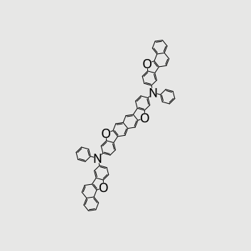 c1ccc(N(c2ccc3c(c2)oc2cc4cc5c(cc4cc23)oc2cc(N(c3ccccc3)c3ccc4oc6c7ccccc7ccc6c4c3)ccc25)c2ccc3oc4c5ccccc5ccc4c3c2)cc1